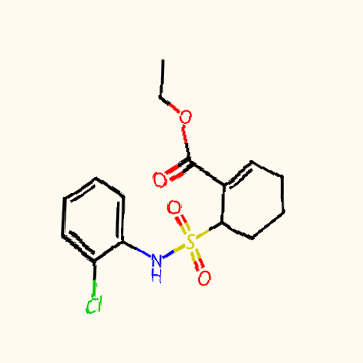 CCOC(=O)C1=CCCCC1S(=O)(=O)Nc1ccccc1Cl